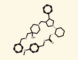 COc1ccc(COC(=O)C[C@H]2CCCC[C@H]2N2CC(CN3CCC(O)(COCc4ccccc4)CC3)C(c3ccccc3)C2)cc1